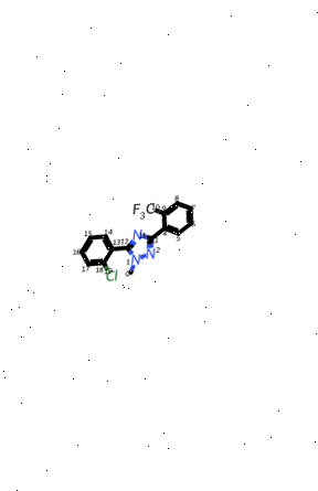 Cn1nc(-c2ccccc2C(F)(F)F)nc1-c1ccccc1Cl